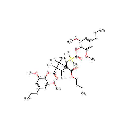 CCCCOC(=O)C(CS(C)(C)C(=O)Oc1c(OC)cc(CCC)cc1OC)C(C)C(C)(C(=O)Oc1c(OC)cc(CCC)cc1OC)C(C)(C)C